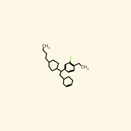 CCCCC1CCC(C(CC2CC=CCC2)c2ccc(CC)c(F)c2)CC1